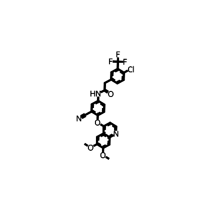 COc1cc2nccc(Oc3ccc(NC(=O)Cc4ccc(Cl)c(C(F)(F)F)c4)cc3C#N)c2cc1OC